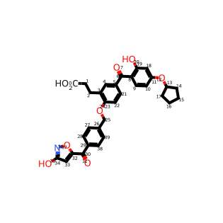 O=C(O)CCc1cc(C(=O)c2ccc(OC3CCCC3)cc2O)ccc1OCc1ccc(C(=O)c2cc(O)no2)cc1